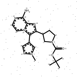 Cn1cc(-c2c(C3CCN(C(=O)OC(C)(C)C)C3)nc3c(N)nccn23)cn1